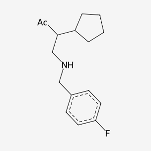 CC(=O)C(CNCc1ccc(F)cc1)C1CCCC1